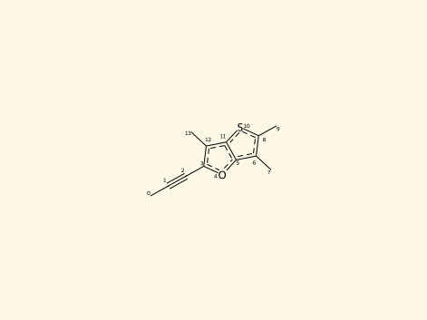 CC#Cc1oc2c(C)c(C)sc2c1C